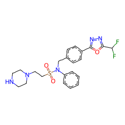 O=S(=O)(CCN1CCNCC1)N(Cc1ccc(-c2nnc(C(F)F)o2)cc1)c1ccccc1